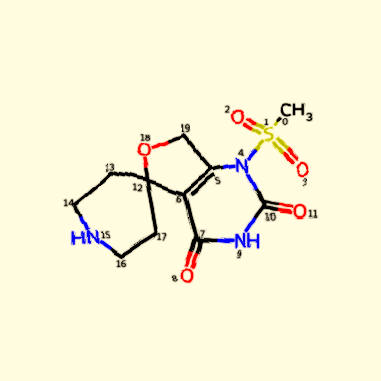 CS(=O)(=O)n1c2c(c(=O)[nH]c1=O)C1(CCNCC1)OC2